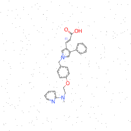 CN(CCOc1ccc(Cn2cc(/C=C/C(=O)O)c(-c3ccccc3)c2)cc1)c1ccccn1